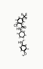 COc1ccc(NC[C@H]2CC[C@H](NC(=O)c3cc(C(F)(F)F)ccc3Cl)CC2)cc1